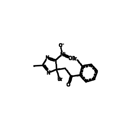 CC1=NC(Br)(CC(=O)c2ccccc2Br)C([N+](=O)[O-])=N1